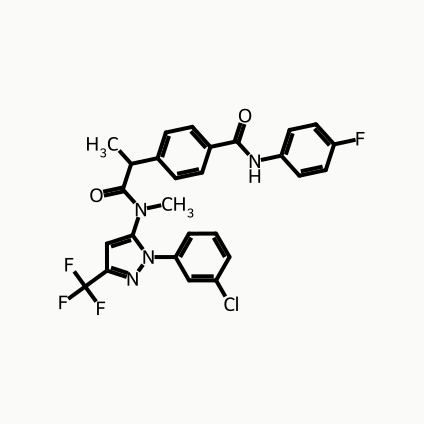 CC(C(=O)N(C)c1cc(C(F)(F)F)nn1-c1cccc(Cl)c1)c1ccc(C(=O)Nc2ccc(F)cc2)cc1